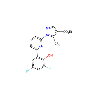 CCOC(=O)c1cnn(-c2cccc(-c3cc(F)cc(F)c3O)n2)c1C(F)(F)F